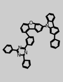 c1ccc(-c2ccc3c4ccccc4n(-c4ccc5c(c4)oc4cccc(-c6cccc(-c7nc(-c8ccccc8)nc(-c8ccccc8)n7)c6)c45)c3c2)cc1